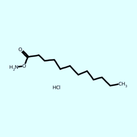 CCCCCCCCCCCC(=O)ON.Cl